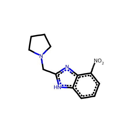 O=[N+]([O-])c1cccc2[nH]c(CN3CCCC3)nc12